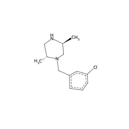 C[C@@H]1CN[C@@H](C)CN1Cc1cccc(Cl)c1